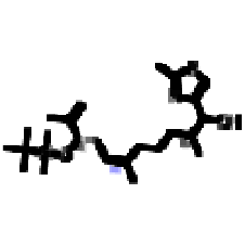 C=C(C)[C@H](C/C=C(/C)CCC[C@H](C)C(O)c1csc(C)n1)O[Si](C)(C)C(C)(C)C